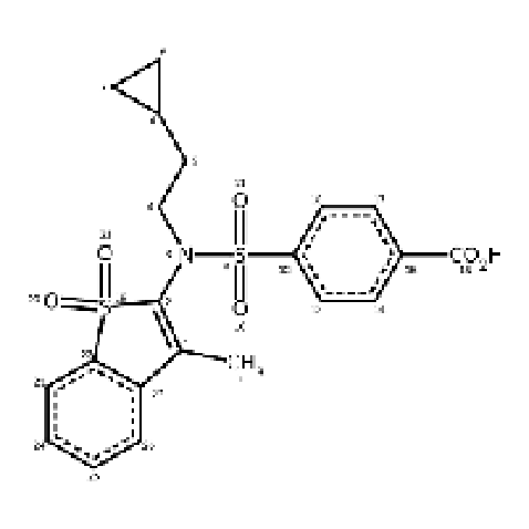 CC1=C(N(CCC2CC2)S(=O)(=O)c2ccc(C(=O)O)cc2)S(=O)(=O)c2ccccc21